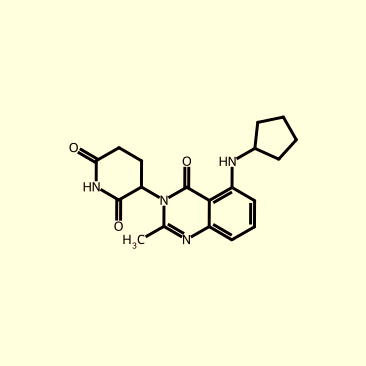 Cc1nc2cccc(NC3CCCC3)c2c(=O)n1C1CCC(=O)NC1=O